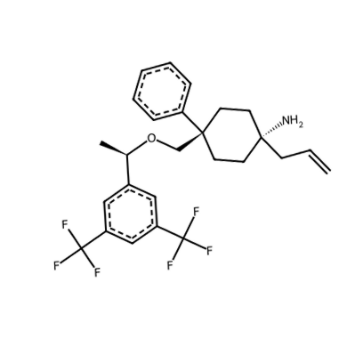 C=CC[C@]1(N)CC[C@@](CO[C@H](C)c2cc(C(F)(F)F)cc(C(F)(F)F)c2)(c2ccccc2)CC1